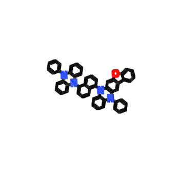 c1ccc(N2c3ccccc3N(c3cccc4c(N5c6ccccc6N(c6ccccc6)c6cc7c(cc65)oc5ccccc57)cccc34)c3ccccc32)cc1